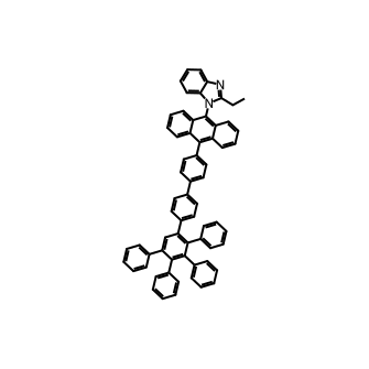 CCc1nc2ccccc2n1-c1c2ccccc2c(-c2ccc(-c3ccc(-c4cc(-c5ccccc5)c(-c5ccccc5)c(-c5ccccc5)c4-c4ccccc4)cc3)cc2)c2ccccc12